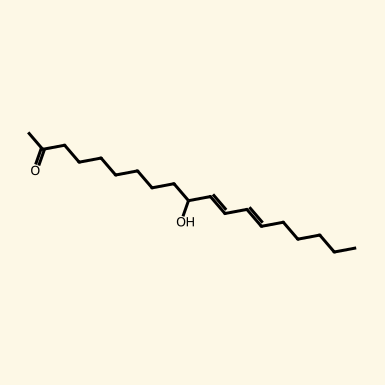 CCCCC/C=C/C=C/C(O)CCCCCCCC(C)=O